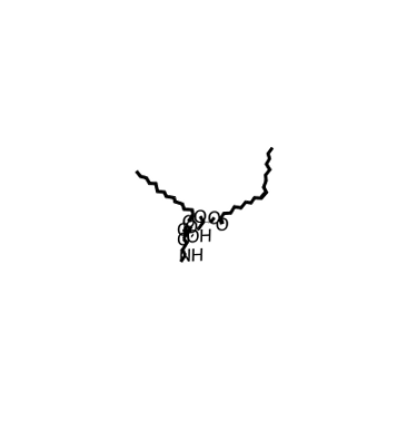 CCCCCCCC/C=C\CCCCCCCC(=O)OC[C@H](COP(=O)(O)OCCNC)OC(=O)CCCCCCCCCCCCC